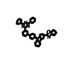 c1ccc(-c2nc(-c3ccccc3)nc(-c3cccc(-c4ccc(-n5c6ccccc6c6cc(-c7nc8ccccc8o7)ccc65)cc4)c3)n2)cc1